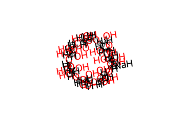 OC[C@H]1O[C@@H]2O[C@H]3[C@H](O)[C@@H](O)[C@@H](O[C@H]4[C@H](O)[C@@H](O)[C@@H](O[C@H]5[C@H](O)[C@@H](O)[C@@H](O[C@H]6[C@H](O)[C@@H](O)[C@@H](O[C@H]7[C@H](O)[C@@H](O)[C@@H](O[C@H]8[C@H](O)[C@@H](O)[C@@H](O[C@H]1[C@H](O)[C@H]2O)O[C@@H]8CO)O[C@@H]7CO)O[C@@H]6CO)O[C@@H]5CO)O[C@@H]4CO)O[C@@H]3CO.[NaH]